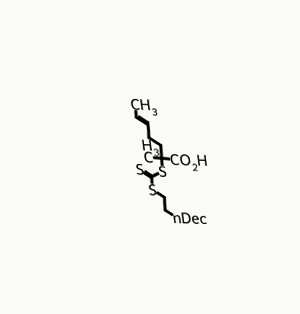 CC=CCCC(C)(SC(=S)SCCCCCCCCCCCC)C(=O)O